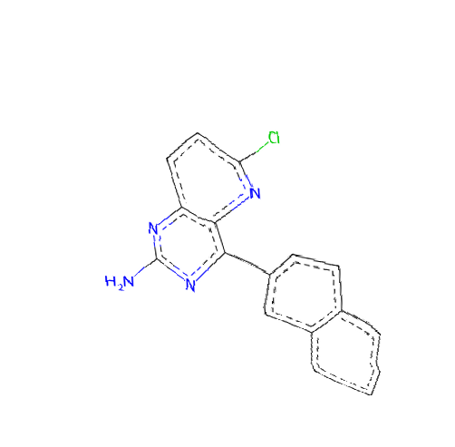 Nc1nc(-c2ccc3ccccc3c2)c2nc(Cl)ccc2n1